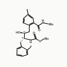 Cc1ccc(C[C@H](O)[C@@H](Cc2ccccc2F)NC(=O)OC(C)(C)C)c(C(=O)NC(C)(C)C)c1